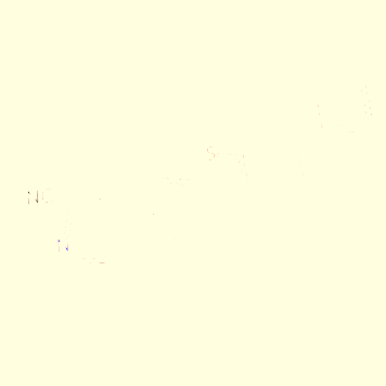 N#Cc1cc(-c2ccc3c(c2)sc2cc(-c4ccccc4)ccc23)ccn1